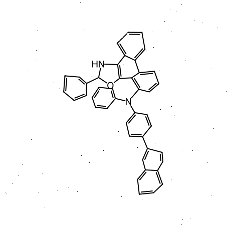 c1ccc(C2Nc3c(c4c(N(c5ccccc5)c5ccc(-c6ccc7ccccc7c6)cc5)cccc4c4ccccc34)O2)cc1